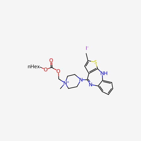 CCCCCCOC(=O)OC[N+]1(C)CCN(C2=Nc3ccccc3Nc3sc(C)cc32)CC1.[I-]